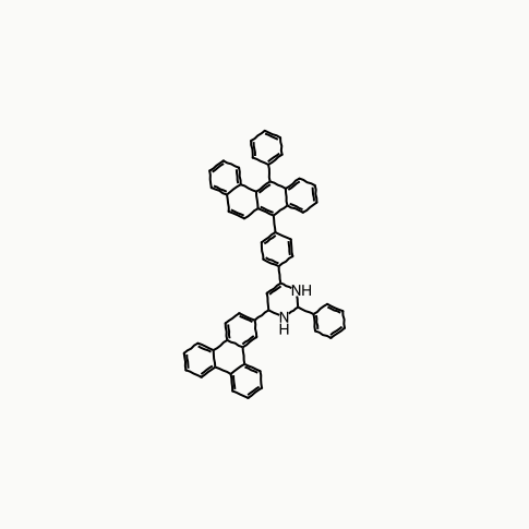 C1=C(c2ccc(-c3c4ccccc4c(-c4ccccc4)c4c3ccc3ccccc34)cc2)NC(c2ccccc2)NC1c1ccc2c3ccccc3c3ccccc3c2c1